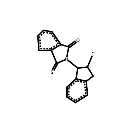 O=C1c2ccccc2C(=S)N1C1c2ccccc2CC1Cl